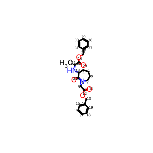 C[C@H](NC1CCCCN(CC(=O)OCc2ccccc2)C1=O)C(=O)OCc1ccccc1